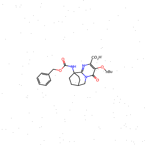 CCCCOc1c(C(=O)O)nc2n(c1=O)CC1CCC2(NC(=O)OCc2ccccc2)CC1